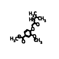 COC(=O)c1ccc(OCC(=O)NC(C)C)c(OC)c1